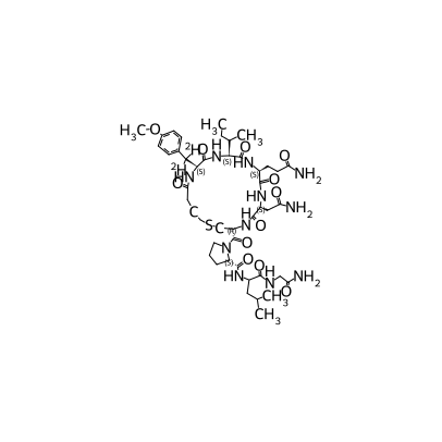 [2H]C([2H])(c1ccc(OC)cc1)[C@@H]1NC(=O)CCCSC[C@@H](C(=O)N2CCC[C@H]2C(=O)NC(CC(C)C)C(=O)NCC(N)=O)NC(=O)[C@H](CC(N)=O)NC(=O)[C@H](CCC(N)=O)NC(=O)[C@H](C(C)CC)NC1=O